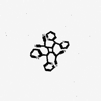 N#CC(C#N)=C1C(=C(c2ccccn2)c2ccccn2)C(=C(C#N)C#N)C1=C(c1ccccn1)c1ccccn1